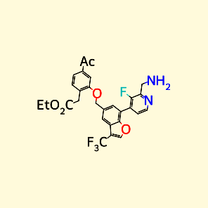 CCOC(=O)Cc1ccc(C(C)=O)cc1OCc1cc(-c2ccnc(CN)c2F)c2occ(C(F)(F)F)c2c1